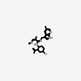 C=N/C=C(C)\C(=N/Cc1c[nH]c2ncc(C)cc12)NC1CCC(CC)CC1C(=C)C